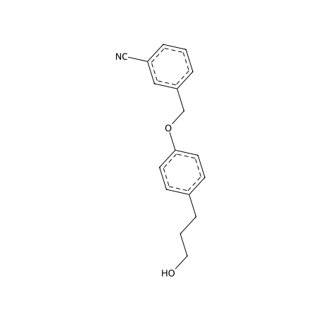 N#Cc1cccc(COc2ccc(CCCO)cc2)c1